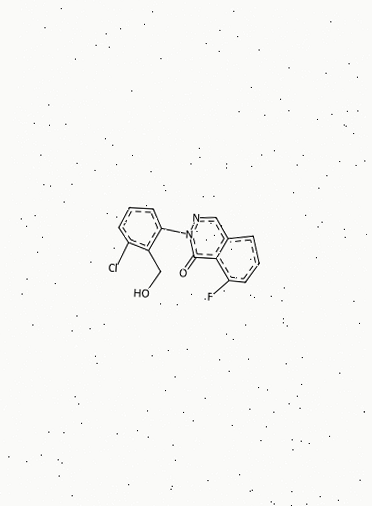 O=c1c2c(F)cccc2cnn1-c1cccc(Cl)c1CO